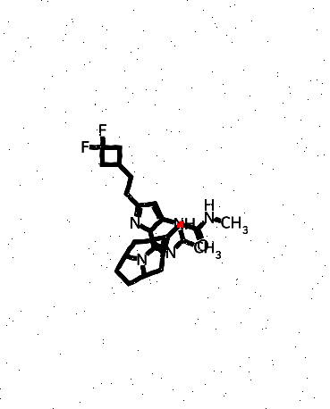 CNC(=O)CC1=C2CC3CCC(CC12)N3C1=NC(C)NC2=CC(CCC3CC(F)(F)C3)=NC21